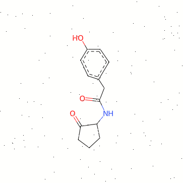 O=C(Cc1ccc(O)cc1)NC1CCCC1=O